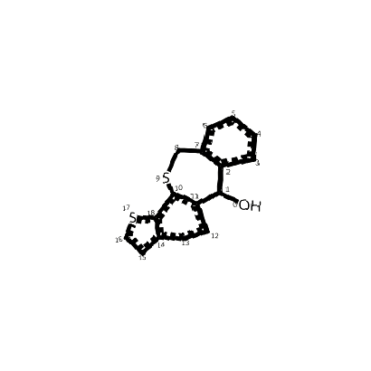 OC1c2ccccc2CSc2c1ccc1ccsc21